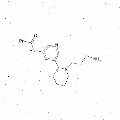 CC(C)C(=O)Nc1cncc(C2CCCCN2CCCN)c1